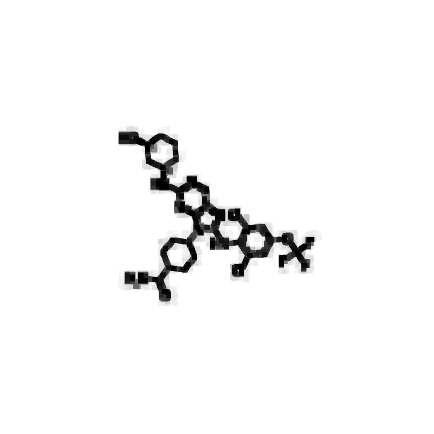 NC(=O)C1CCC(n2c(Nc3c(Cl)cc(OC(F)(F)F)cc3Cl)nc3cnc(N[C@@H]4CCC[C@H](O)C4)nc32)CC1